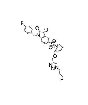 O=C1C(=O)N(Cc2ccc(F)cc2)c2ccc(S(=O)(=O)N3CCC[C@H]3COCc3cn(CCCF)nn3)cc21